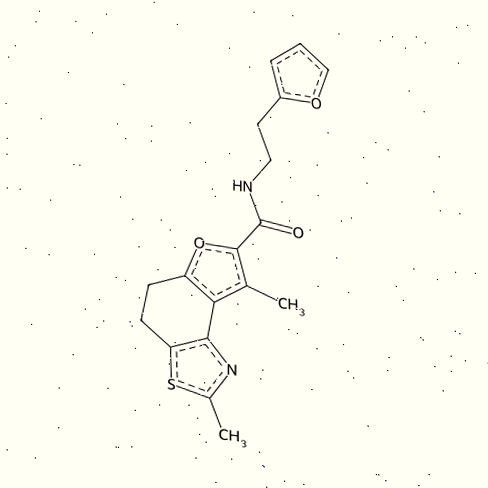 Cc1nc2c(s1)CCc1oc(C(=O)NCCc3ccco3)c(C)c1-2